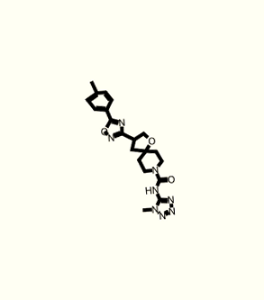 Cc1ccc(-c2nc(C3COC4(CCN(C(=O)Nc5nnnn5C)CC4)C3)no2)cc1